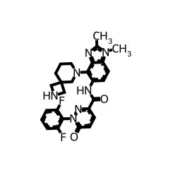 Cc1nc2c(N3CCCC4(CNC4)C3)c(NC(=O)c3ccc(=O)n(-c4c(F)cccc4F)n3)ccc2n1C